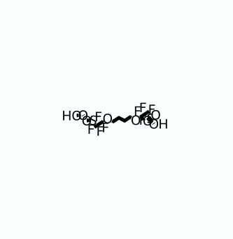 O=S(=O)(O)C(F)(F)C(F)(F)OCCCCOC(F)(F)C(F)(F)SOOO